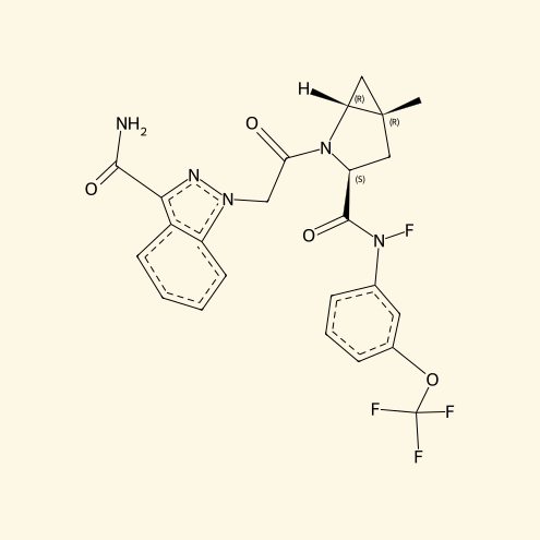 C[C@@]12C[C@@H](C(=O)N(F)c3cccc(OC(F)(F)F)c3)N(C(=O)Cn3nc(C(N)=O)c4ccccc43)[C@@H]1C2